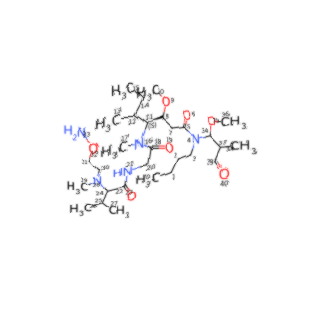 CCCCN(C(=O)CC(OC)[C@H](C(C)CC)N(C)C(=O)CNC(=O)C(C(C)C)N(C)CCON)C(OC)C(C)C=O